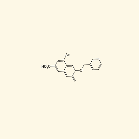 C=C1C=c2cc(C(=O)O)cc(C(C)=O)c2=CC1OCc1ccccc1